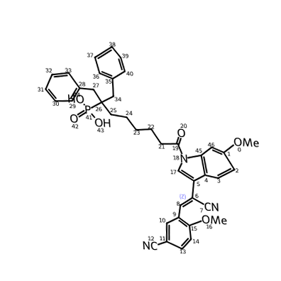 COc1ccc2c(/C(C#N)=C/c3cc(C#N)ccc3OC)cn(C(=O)CCCCCC(Cc3ccccc3)(Cc3ccccc3)P(=O)(O)O)c2c1